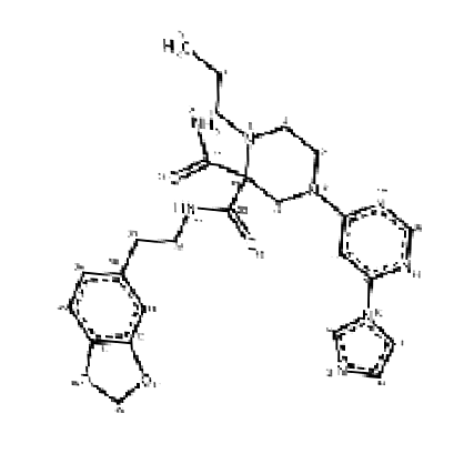 CCCN1CCN(c2cc(-n3ccnc3)ncn2)CC1(C(N)=O)C(=O)NCCc1ccc2c(c1)OCO2